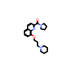 O=C(c1ccc2cccc(OCCCN3CCCCC3)c2n1)N1CCCC1